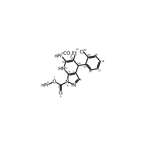 CCCOC(=O)n1ncc2c1NC(CCC)=C(C(=O)OCC)C2c1ccccc1Cl